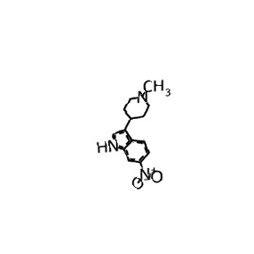 CN1CCC(c2c[nH]c3cc([N+](=O)[O-])ccc23)CC1